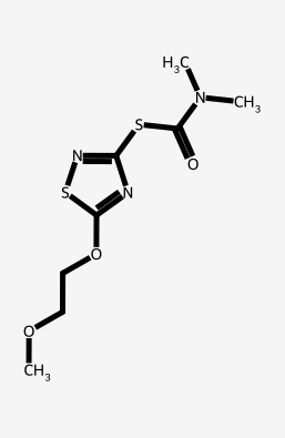 COCCOc1nc(SC(=O)N(C)C)ns1